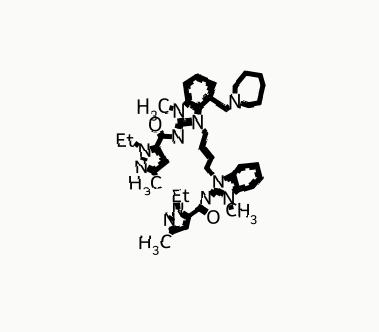 CCn1nc(C)cc1C(=O)/N=c1\n(C)c2ccccc2n1C/C=C/Cn1/c(=N/C(=O)c2cc(C)nn2CC)n(C)c2cccc(CN3CCCCCC3)c21